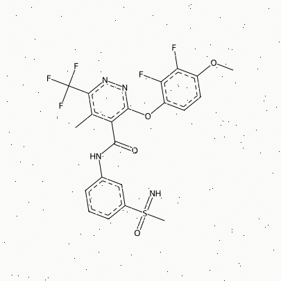 COc1ccc(Oc2nnc(C(F)(F)F)c(C)c2C(=O)Nc2cccc(S(C)(=N)=O)c2)c(F)c1F